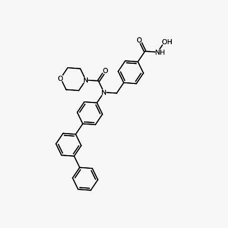 O=C(NO)c1ccc(CN(C(=O)N2CCOCC2)c2ccc(-c3cccc(-c4ccccc4)c3)cc2)cc1